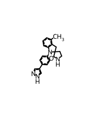 Cc1cccc2c1CC1(CCNC1=O)N2c1ccc(-c2cn[nH]c2)cc1